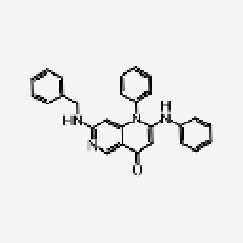 O=c1cc(Nc2ccccc2)n(-c2ccccc2)c2cc(NCc3ccccc3)ncc12